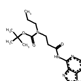 CCCN(CCC(=O)Nc1ncnc2[nH]cnc12)C(=O)OC(C)(C)C